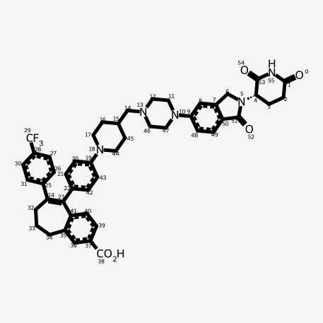 O=C1CC[C@H](N2Cc3cc(N4CCN(CC5CCN(c6ccc(C7=C(c8ccc(C(F)(F)F)cc8)CCCc8cc(C(=O)O)ccc87)cc6)CC5)CC4)ccc3C2=O)C(=O)N1